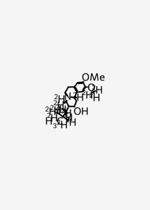 [2H]C([2H])([2H])Oc1cc2c(cc1OC)CCN1C2([2H])CC(O)C(C([2H])([2H])C(C)(C([2H])([2H])[2H])C([2H])([2H])[2H])C1([2H])[2H]